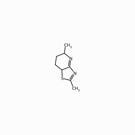 CC1=NC2=NC(C)CCC2S1